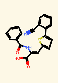 N#Cc1ccccc1-c1ccc(C=C(NC(=O)c2ccccc2)C(=O)O)s1